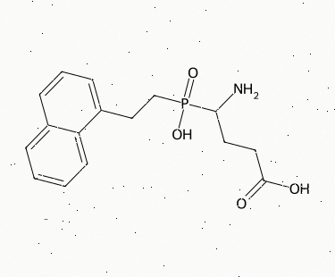 NC(CCC(=O)O)P(=O)(O)CCc1cccc2ccccc12